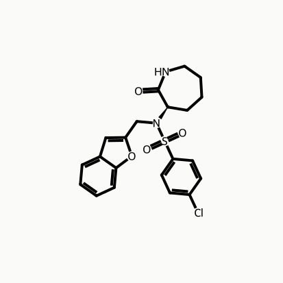 O=C1NCCCC[C@H]1N(Cc1cc2ccccc2o1)S(=O)(=O)c1ccc(Cl)cc1